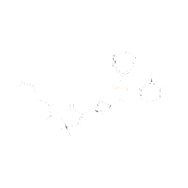 CC1(C)N=C(C23CC(N(Cc4ccc(Cl)c(F)c4)S(=O)(=O)c4ccccc4)(C2)C3)N[C@H]1C(=O)NCCC(F)F